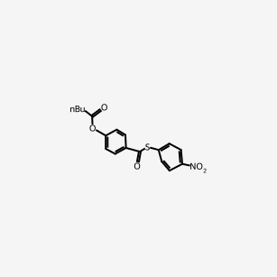 CCCCC(=O)Oc1ccc(C(=O)Sc2ccc([N+](=O)[O-])cc2)cc1